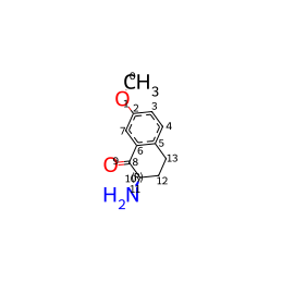 COc1ccc2c(c1)C(=O)[C@H](N)CC2